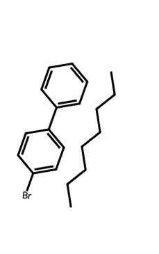 Brc1ccc(-c2ccccc2)cc1.CCCCCCCC